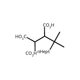 CCCCCCCC(C)(C)C(C(=O)O)C(C(=O)O)C(=O)O